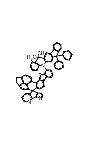 CC1(C)c2ccccc2N(c2cccc3c2sc2c4c(ccc23)C2(c3cccnc3-c3ncccc32)c2ccc3c5c(ccc-4c25)CC3)c2cc3c(cc21)-c1ccccc1C3(c1ccccc1)c1ccccc1